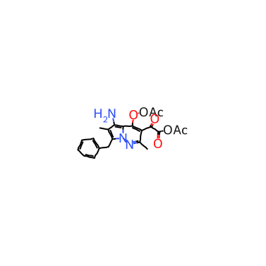 CC(=O)OOc1c(C(=O)C(=O)OC(C)=O)c(C)nn2c(Cc3ccccc3)c(C)c(N)c12